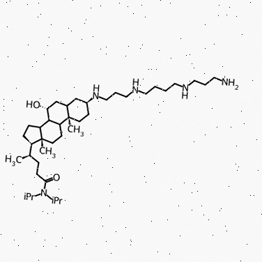 CC(C)N(C(=O)CC[C@@H](C)[C@H]1CCC2C3C(CC[C@@]21C)[C@@]1(C)CC[C@H](NCCCNCCCCNCCCN)CC1C[C@H]3O)C(C)C